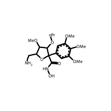 CCCOC1C(OC)C(CN)OC1(C(=O)NO)c1cc(OC)c(OC)c(OC)c1